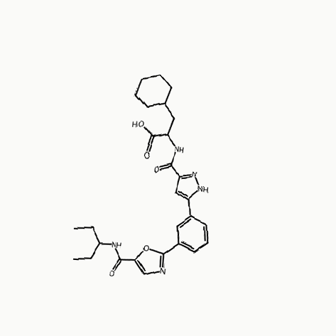 CCC(CC)NC(=O)c1cnc(-c2cccc(-c3cc(C(=O)NC(CC4CCCCC4)C(=O)O)n[nH]3)c2)o1